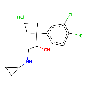 Cl.OC(CNC1CC1)C1(c2ccc(Cl)c(Cl)c2)CCC1